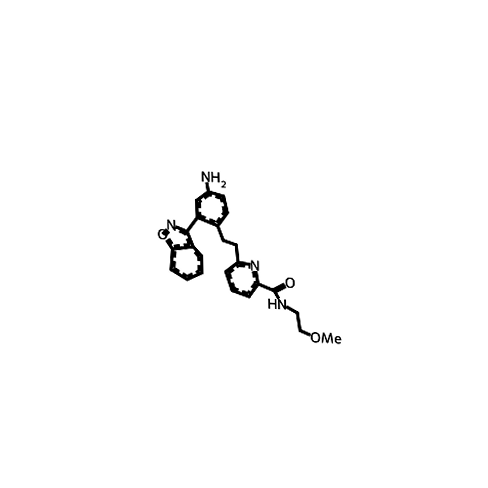 COCCNC(=O)c1cccc(CCc2ccc(N)cc2-c2noc3ccccc23)n1